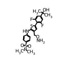 CN(C)S(=O)(=O)c1ccc(Nc2sc(-c3c(F)cc(C(C)(C)O)cc3F)cc2CON)cc1